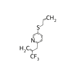 C=CCSc1ccc(CC(=C)C(F)(F)F)nc1